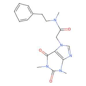 CN(CCc1ccccc1)C(=O)Cn1cnc2c1c(=O)n(C)c(=O)n2C